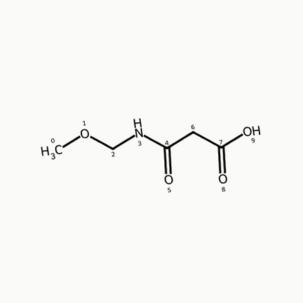 COCNC(=O)CC(=O)O